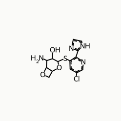 NC1C(O)C(Sc2cc(Cl)cnc2-c2ncc[nH]2)OC2COC21